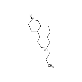 CCC[C@@H]1CCC2C(CCC3C[C@H](Br)CCC32)C1